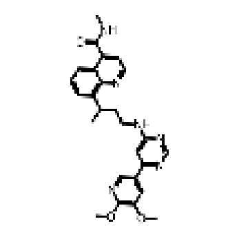 CNC(=O)c1ccnc2c(C(C)CCNc3cc(-c4cnc(OC)c(OC)c4)ncn3)cccc12